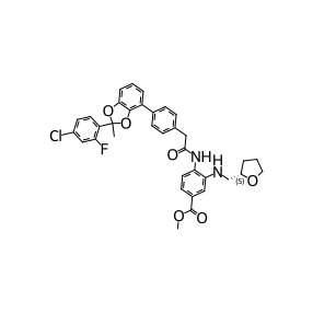 COC(=O)c1ccc(NC(=O)Cc2ccc(-c3cccc4c3OC(C)(c3ccc(Cl)cc3F)O4)cc2)c(NC[C@@H]2CCCO2)c1